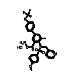 COc1ccc(S(=O)(=O)N(Cc2cccnc2)c2c(C)cc(-c3ccc(OC(F)(F)F)cc3)cc2C(=O)ON)cc1.Cl